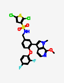 COc1nccc2c(-c3cc(CNS(=O)(=O)c4cc(Cl)sc4Cl)ccc3Oc3ccc(F)cc3F)cn(C)c12